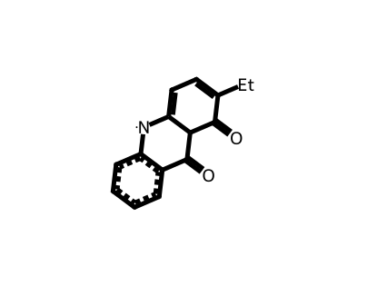 CCC1=CC=C2[N]c3ccccc3C(=O)C2C1=O